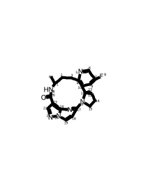 CC1CCc2ncc(F)cc2C23CC2CCN3c2ccn3ncc(c3n2)C(=O)N1